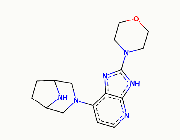 c1cc(N2CC3CCC(C2)N3)c2nc(N3CCOCC3)[nH]c2n1